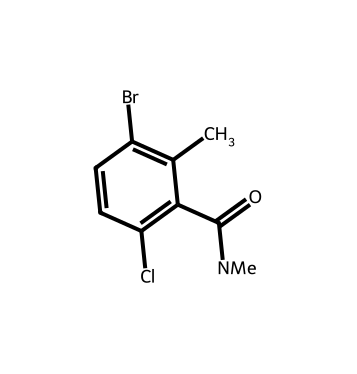 CNC(=O)c1c(Cl)ccc(Br)c1C